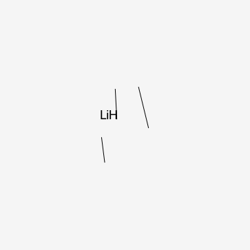 CC.CC.CC.[LiH]